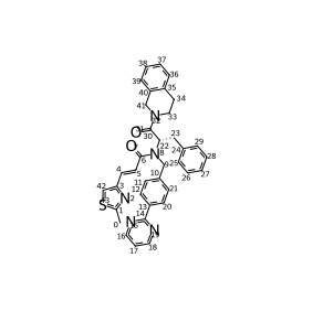 Cc1nc(/C=C/C(=O)N(Cc2ccc(-c3ncccn3)cc2)[C@@H](Cc2ccccc2)C(=O)N2CCc3ccccc3C2)cs1